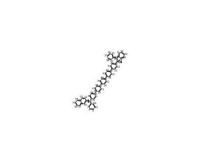 c1ccc(N(c2ccc(-c3ccc(-c4ccc(-c5ccc(-c6ccc(-c7nc8ccccc8n7-c7ccccc7)cc6)cc5)cc4)cc3)cc2)c2ccc3ccccc3c2)cc1